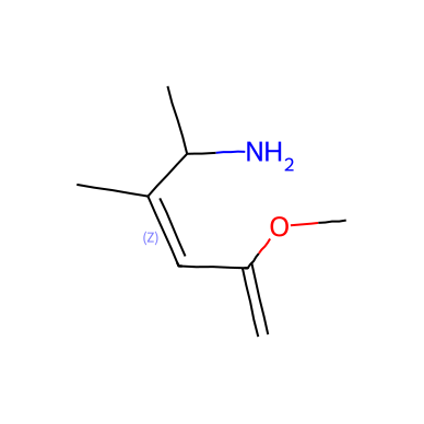 C=C(/C=C(/C)C(C)N)OC